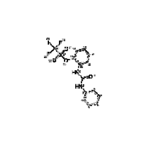 O=C(Nc1ccccc1)Nc1ccccc1OS(=O)(=O)C(F)(F)F